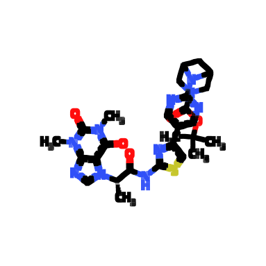 C[C@@H](C(=O)Nc1nc(-c2cnc(N3C4CC3CN(C(=O)OC(C)(C)C)C4)nc2)cs1)n1cnc2c1c(=O)n(C)c(=O)n2C